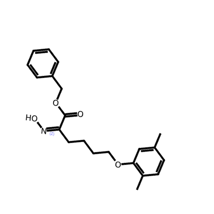 Cc1ccc(C)c(OCCCC/C(=N/O)C(=O)OCc2ccccc2)c1